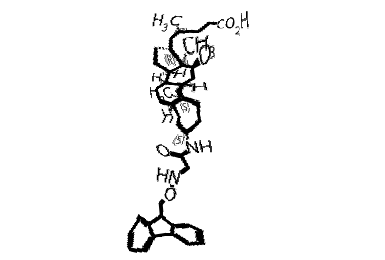 C[C@H](CCC(=O)O)[C@H]1CC[C@H]2[C@@H]3CC[C@@H]4C[C@@H](NC(=O)CNOCC5c6ccccc6-c6ccccc65)CC[C@]4(C)[C@H]3CC(=O)[C@]12C